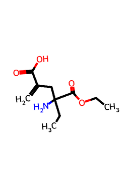 C=C(CC(N)(CC)C(=O)OCC)C(=O)O